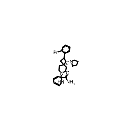 CC(C)c1ccccc1C1CC2(CCN(C3(C(N)=O)C=CC=CN3)CC2)[C@H]1N1CCCC1